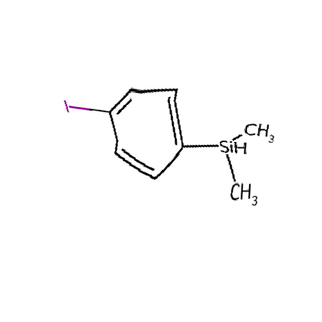 C[SiH](C)c1ccc(I)cc1